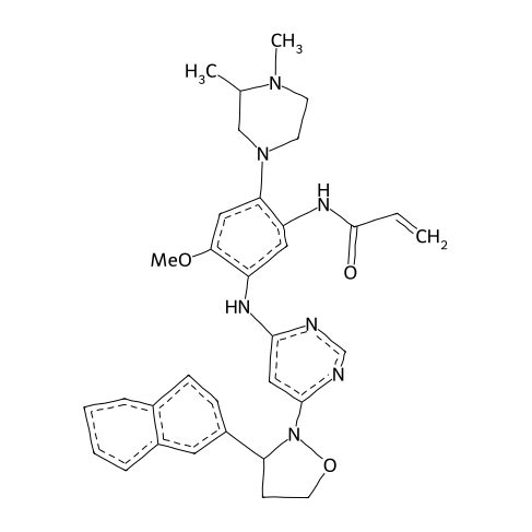 C=CC(=O)Nc1cc(Nc2cc(N3OCCC3c3ccc4ccccc4c3)ncn2)c(OC)cc1N1CCN(C)C(C)C1